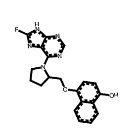 Oc1ccc(OCC2CCCN2c2ncnc3[nH]c(F)nc23)c2ccccc12